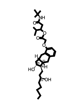 CCCCC[C@H](O)CC[C@@H]1[C@H]2Cc3cccc(OCC(=O)OC(CC(=O)NC(C)(C)C)C(C)C)c3C[C@H]2C[C@H]1O